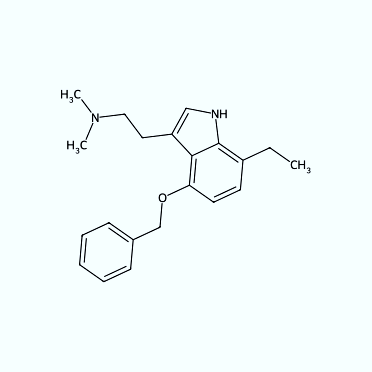 CCc1ccc(OCc2ccccc2)c2c(CCN(C)C)c[nH]c12